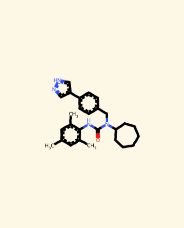 Cc1cc(C)c(NC(=O)N(Cc2ccc(-c3cn[nH]c3)cc2)C2CCCCCC2)c(C)c1